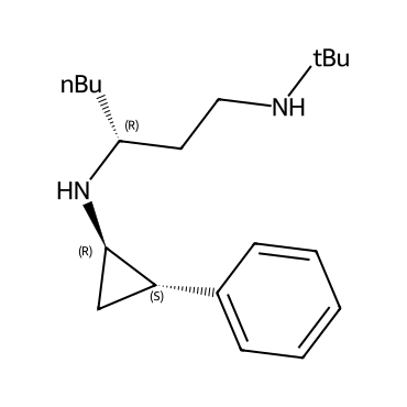 CCCC[C@H](CCNC(C)(C)C)N[C@@H]1C[C@H]1c1ccccc1